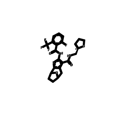 O=C(Nc1sc2c(c1C(=O)NC[C@H]1CCCO1)CC1CCC2O1)c1c(F)cccc1C(F)(F)F